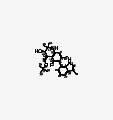 Cc1c[nH]c2c(-c3c(F)cc4c(c3F)/C(=N\OC(C)(C)C)C(O)C(C)(C)N4)cccc12